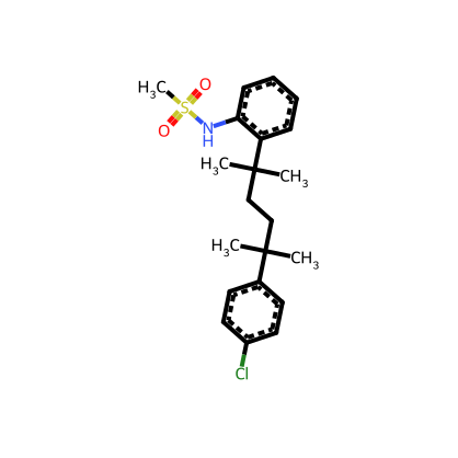 CC(C)(CCC(C)(C)c1ccccc1NS(C)(=O)=O)c1ccc(Cl)cc1